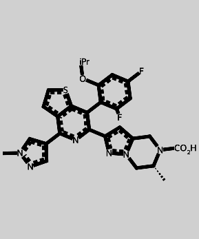 CC(C)Oc1cc(F)cc(F)c1-c1c(-c2cc3n(n2)C[C@@H](C)N(C(=O)O)C3)nc(-c2cnn(C)c2)c2ccsc12